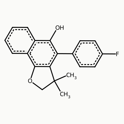 CC1(C)COc2c1c(-c1ccc(F)cc1)c(O)c1ccccc21